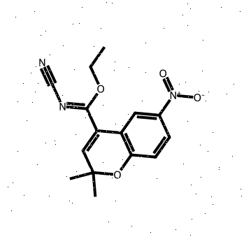 CCOC(=NC#N)C1=CC(C)(C)Oc2ccc([N+](=O)[O-])cc21